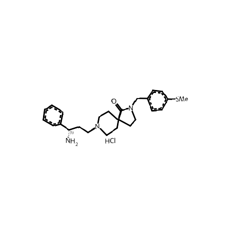 CSc1ccc(CN2CCC3(CCN(CC[C@H](N)c4ccccc4)CC3)C2=O)cc1.Cl